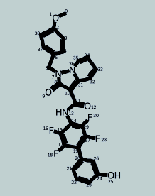 COc1ccc(Cn2c(=O)c(C(=O)Nc3c(F)c(F)c(-c4cccc(O)c4)c(F)c3F)c3ccccn32)cc1